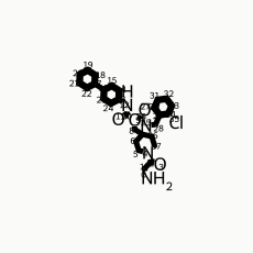 NCC(=O)N1CCC(COC(=O)Nc2ccc(-c3ccccc3)cc2)(N(C=O)Cc2ccccc2Cl)CC1